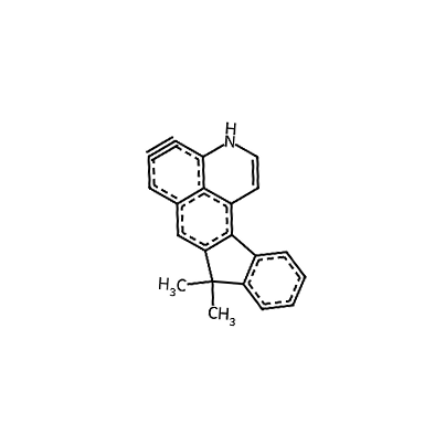 CC1(C)c2ccccc2-c2c1cc1cc#cc3c1c2C=CN3